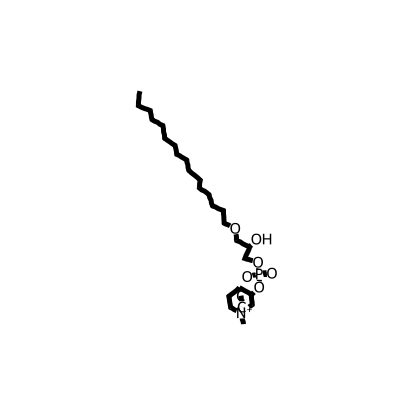 CCCCCCCCCCCCCCCCOCC(O)COP(=O)([O-])OC1C[N+]2(C)CCC1CC2